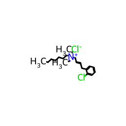 CCCCCCC[N+](CC)(CC)CC=CCc1ccccc1Cl.[Cl-]